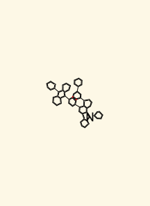 c1ccc(-c2cccc(-c3cccc4c3c(-c3ccc(-c5c6ccccc6c(-c6ccccc6)c6ccccc56)cc3)cc3c5ccccc5n(-c5ccccc5)c43)c2)cc1